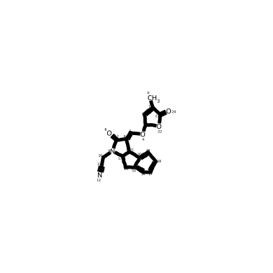 CC1=CC(O/C=C2/C(=O)N(CC#N)C3Cc4ccccc4C23)OC1=O